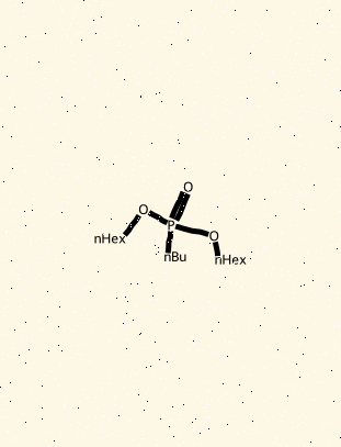 CCCCCCOP(=O)(CCCC)OCCCCCC